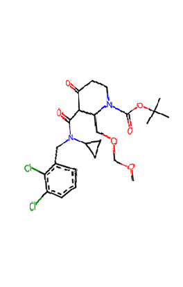 COCOCC1C(C(=O)N(Cc2cccc(Cl)c2Cl)C2CC2)C(=O)CCN1C(=O)OC(C)(C)C